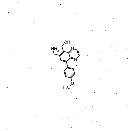 NCc1cc(-c2ccc(OC(F)(F)F)cc2)c2nccnc2c1CO